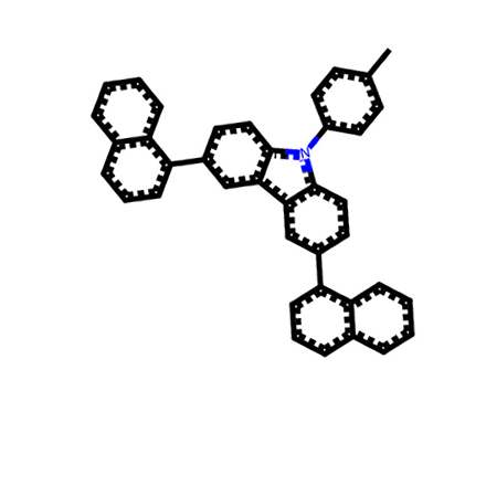 Cc1ccc(-n2c3ccc(-c4cccc5ccccc45)cc3c3cc(-c4cccc5ccccc45)ccc32)cc1